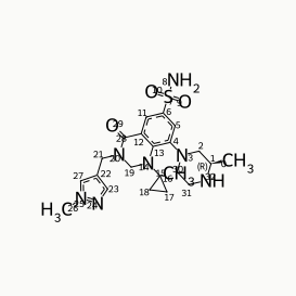 C[C@@H]1CN(c2cc(S(N)(=O)=O)cc3c2N(C2(C)CC2)CN(Cc2cnn(C)c2)C3=O)CCN1